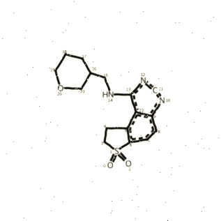 O=S1(=O)CCc2c1ccc1ncnc(NCC3CCCOC3)c21